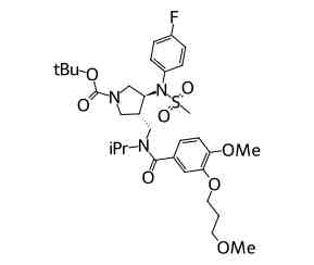 COCCCOc1cc(C(=O)N(C[C@@H]2CN(C(=O)OC(C)(C)C)C[C@H]2N(c2ccc(F)cc2)S(C)(=O)=O)C(C)C)ccc1OC